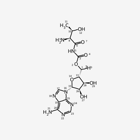 [3H]C(OC(=O)NC(=O)[C@@H](N)[C@@H](C)O)[C@H]1O[C@@H](n2cnc3c(N)ncnc32)[C@H](O)[C@@H]1O